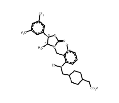 CCN(CC1CCC(CC(=O)O)CC1)c1ccc[n+]([O-])c1CN1C(=O)O[C@H](c2cc(C(F)(F)F)cc(C(F)(F)F)c2)[C@@H]1C